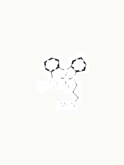 CNCCCN1c2ccccc2N(c2ccccc2OC(F)(F)F)S1(O)O